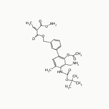 CC=C(C(=O)ON)C(=O)OCc1cccc(-c2cc(C)c(NC(=O)OC(C)(C)C)c(CN)c2OC(C)=O)c1